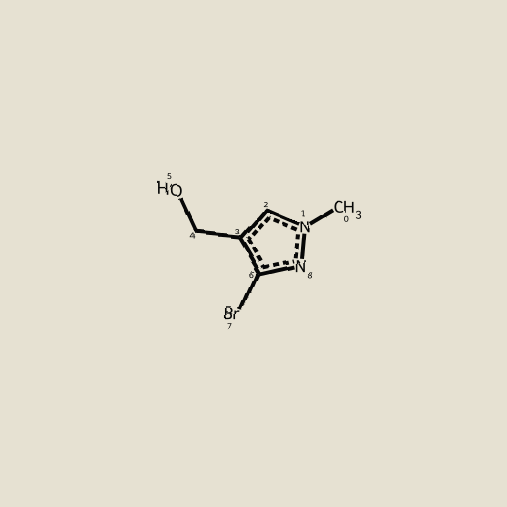 Cn1cc(CO)c(Br)n1